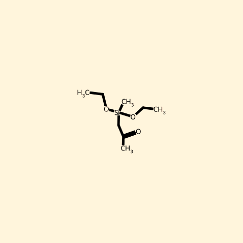 CCO[Si](C)(CC(C)=O)OCC